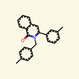 Cc1ccc(Cn2c(-c3cccc(C)c3)cc3ccccc3c2=O)cc1